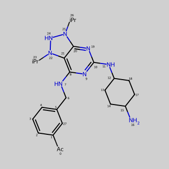 CC(=O)c1cccc(CNc2nc(NC3CCC(N)CC3)nc3c2N(C(C)C)NN3C(C)C)c1